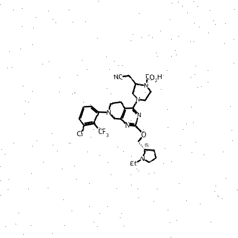 CCN1CCC[C@H]1COc1nc2c(c(N3CCN(C(=O)O)C(CC#N)C3)n1)CCN(c1cccc(Cl)c1C(F)(F)F)C2